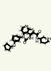 O=C(NC1CCCNC1)c1sc2nccc3c2c1NC(=O)N3c1cccc(OC2CCCC2)c1